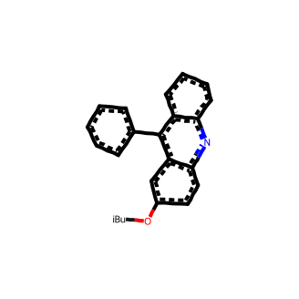 CCC(C)Oc1ccc2nc3ccccc3c(-c3ccccc3)c2c1